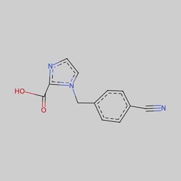 N#Cc1ccc(Cn2ccnc2C(=O)O)cc1